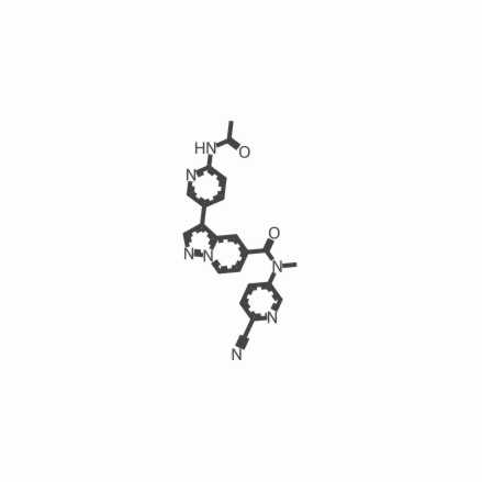 CC(=O)Nc1ccc(-c2cnn3ccc(C(=O)N(C)c4ccc(C#N)nc4)cc23)cn1